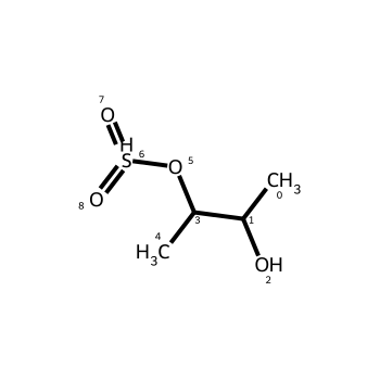 CC(O)C(C)O[SH](=O)=O